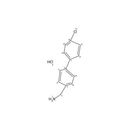 Cl.NCc1ccc(-c2ccc(Cl)cc2)cc1